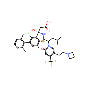 Cc1cc(-c2c(C)cccc2C)c(F)c([C@@](O)(CC(=O)O)NC(=O)C(CC(C)C)n2cc(CCN3CCC3)c(C(F)(F)F)cc2=O)c1F